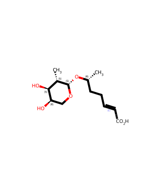 C[C@@H]1[C@H](O[C@H](C)CC/C=C/C(=O)O)OC[C@@H](O)[C@H]1O